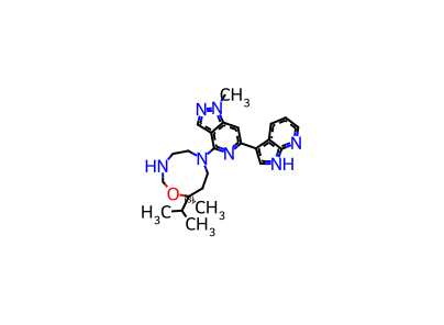 CC(C)[C@]1(C)CCN(c2nc(-c3c[nH]c4ncccc34)cc3c2cnn3C)CCNCO1